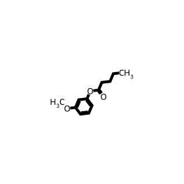 CCCCC(=O)Oc1cccc(OC)c1